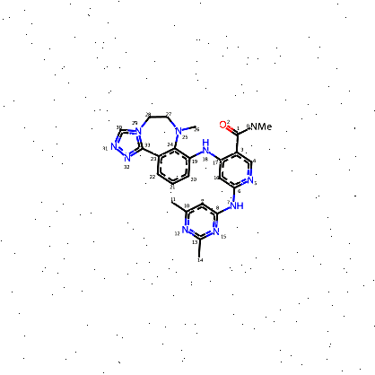 CNC(=O)c1cnc(Nc2cc(C)nc(C)n2)cc1Nc1cccc2c1N(C)CCn1cnnc1-2